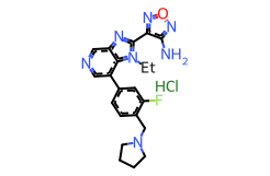 CCn1c(-c2nonc2N)nc2cncc(-c3ccc(CN4CCCC4)c(F)c3)c21.Cl